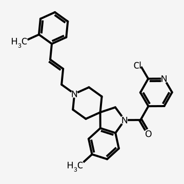 Cc1ccc2c(c1)C1(CCN(C/C=C/c3ccccc3C)CC1)CN2C(=O)c1ccnc(Cl)c1